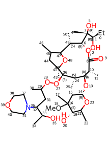 CC[C@@H](O)[C@@](C)(O)[C@@H]1OC(=O)[C@H](C)[C@@H](O[C@H]2CC(C)(OC)[C@@H](O)C(C)O2)[C@H](C)[C@@H](OOC(C)CC(C(C)O)N2CCOCC2)[C@@]2(C)CC(C)C(O2)[C@@H]1C